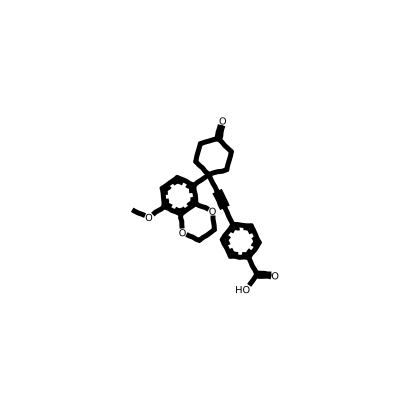 COc1ccc(C2(C#Cc3ccc(C(=O)O)cc3)CCC(=O)CC2)c2c1OCCO2